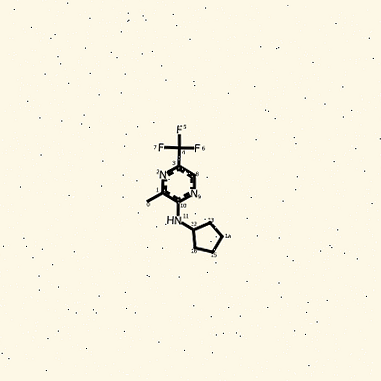 Cc1nc(C(F)(F)F)cnc1NC1CCCC1